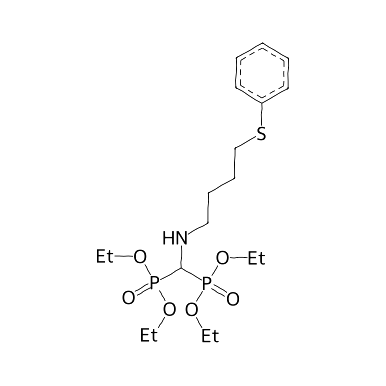 CCOP(=O)(OCC)C(NCCCCSc1ccccc1)P(=O)(OCC)OCC